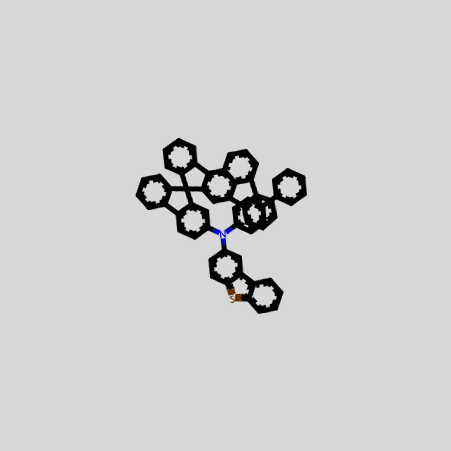 c1ccc(-c2ccc(N(c3ccc4c(c3)C3(c5ccccc5-4)c4ccccc4-c4c3cc3c5c(cccc45)-c4ccccc4-3)c3ccc4sc5ccccc5c4c3)cc2)cc1